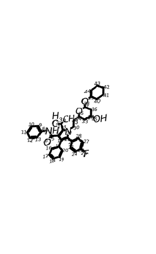 CC(C)c1c(C(=O)Nc2ccccc2)c(-c2ccccc2)c(-c2ccc(F)cc2)n1CC[C@@H]1C[C@@H](O)CC(OC2CCCCC2)O1